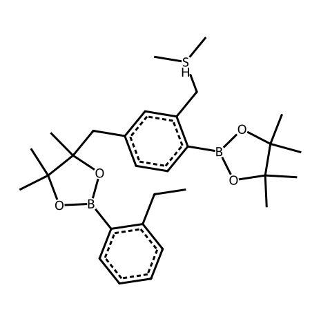 CCc1ccccc1B1OC(C)(C)C(C)(Cc2ccc(B3OC(C)(C)C(C)(C)O3)c(C[SH](C)C)c2)O1